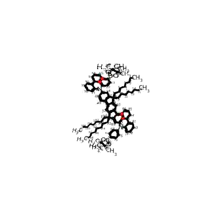 CCCCCCCCC1(CCCCCCCC)c2cc(N(c3ccc(B4OC(C)(C)C(C)(C)O4)cc3)c3ccccc3-c3ccccc3)ccc2-c2cc3c(cc21)-c1ccc(N(c2ccc(B4OC(C)(C)C(C)(C)O4)cc2)c2ccccc2-c2ccccc2)cc1C3(CCCCCCCC)CCCCCCCC